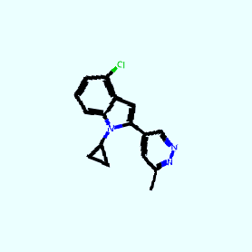 Cc1cc(-c2cc3c(Cl)cccc3n2C2CC2)cnn1